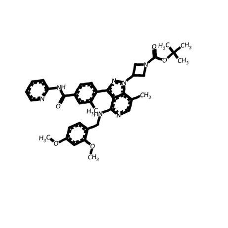 COc1ccc(CNc2ncc(C)c3c2c(-c2ccc(C(=O)Nc4ccccn4)cc2C)nn3C2CN(C(=O)OC(C)(C)C)C2)c(OC)c1